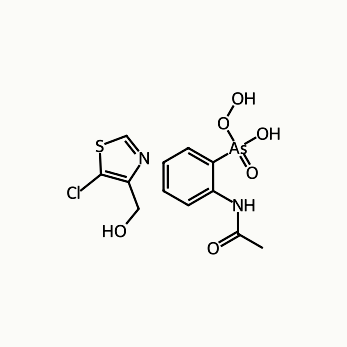 CC(=O)Nc1ccccc1[As](=O)(O)OO.OCc1ncsc1Cl